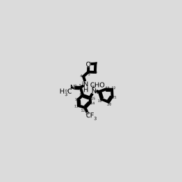 C/N=C(/NCC1CCO1)c1ccc(C(F)(F)F)cc1N(C=O)c1ccccc1